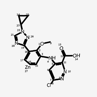 COc1c(Nc2cc(Cl)nnc2C(=O)O)cccc1-c1ncn(C2CC2)n1.[Zn]